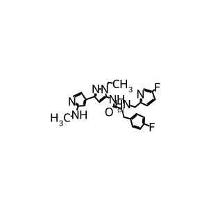 CCn1nc(-c2ccnc(NC)c2)cc1NC(=O)[C@H](Cc1ccc(F)cc1)NCc1ccc(F)cn1